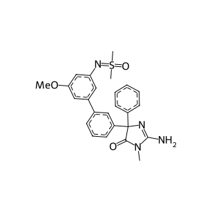 COc1cc(N=S(C)(C)=O)cc(-c2cccc(C3(c4ccccc4)N=C(N)N(C)C3=O)c2)c1